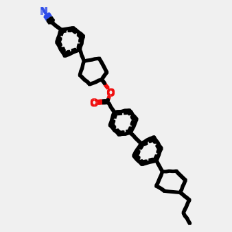 CCCC1CCC(c2ccc(-c3ccc(C(=O)OC4CCC(c5ccc(C#N)cc5)CC4)cc3)cc2)CC1